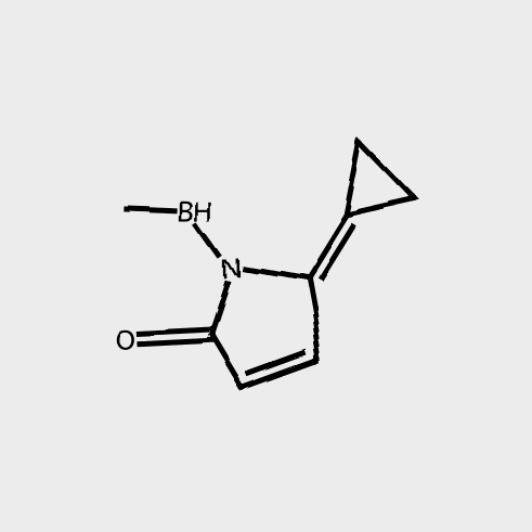 CBN1C(=O)C=CC1=C1CC1